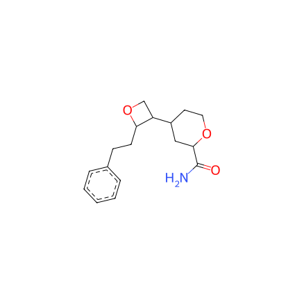 NC(=O)C1CC(C2COC2CCc2ccccc2)CCO1